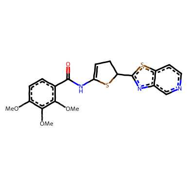 COc1ccc(C(=O)NC2=CCC(c3nc4cnccc4s3)S2)c(OC)c1OC